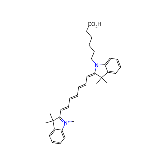 C[N+]1=C(/C=C/C=C/C=C/C=C2/N(CCCCCC(=O)O)c3ccccc3C2(C)C)C(C)(C)c2ccccc21